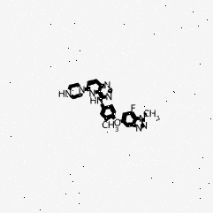 Cc1cc(Nc2ncnc3ccc(N4CCNCC4)nc23)ccc1Oc1cc(F)c2c(c1)nnn2C